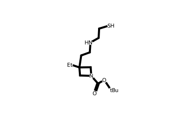 CCC1(CCNCCS)CN(C(=O)OC(C)(C)C)C1